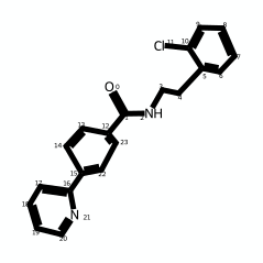 O=C(NCCc1ccccc1Cl)c1ccc(-c2ccccn2)cc1